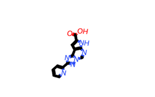 O=C(O)c1cc2c(ncn3nc(-c4ccccn4)nc23)[nH]1